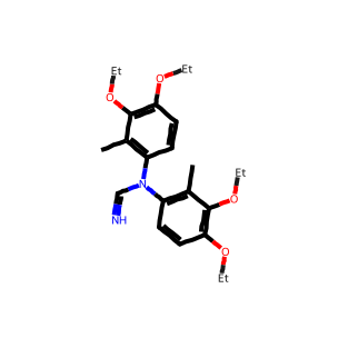 CCOc1ccc(N(C=N)c2ccc(OCC)c(OCC)c2C)c(C)c1OCC